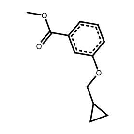 COC(=O)c1cccc(OCC2CC2)c1